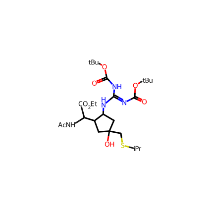 CCOC(=O)C(NC(C)=O)C1CC(O)(CSC(C)C)CC1NC(=NC(=O)OC(C)(C)C)NC(=O)OC(C)(C)C